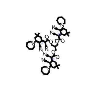 CC1(C)CC(N2CCCCCC2)=C(C#N)/C(=C(\C#N)C(=O)OCC(COC(=O)/C(C#N)=C2\CC(C)(C)CC(N3CCCCCC3)=C2C#N)COC(=O)/C(C#N)=C2\CC(C)(C)CC(N3CCCCCC3)=C2C#N)C1